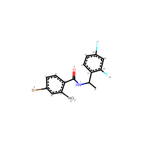 CC(NC(=O)c1ccc(Br)cc1[N+](=O)[O-])c1ccc(F)cc1F